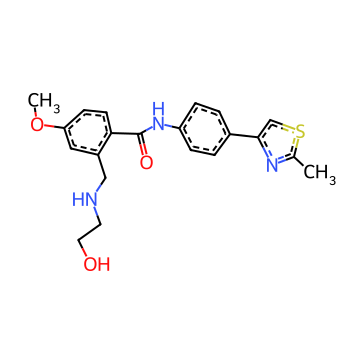 COc1ccc(C(=O)Nc2ccc(-c3csc(C)n3)cc2)c(CNCCO)c1